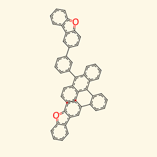 c1cc(-c2ccc3oc4ccccc4c3c2)cc(-c2c3ccccc3c(-c3ccccc3-c3ccc4oc5ccccc5c4c3)c3ccccc23)c1